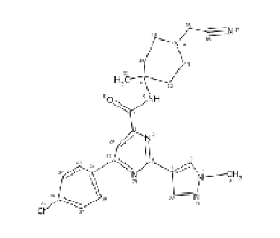 Cn1cc(-c2nc(C(=O)NC3(C)CCN(CC#N)CC3)cc(-c3ccc(Cl)cc3)n2)cn1